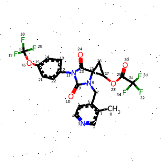 Cc1cnccc1CN1C(=O)N(c2ccc(OC(F)(F)F)cc2)C(=O)C12CC2OC(=O)C(F)(F)F